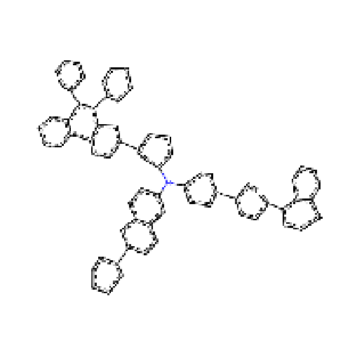 c1ccc(-c2ccc3cc(N(c4ccc(-c5ccc(-c6cccc7ccccc67)cc5)cc4)c4cccc(-c5ccc6c(c5)c(-c5ccccc5)c(-c5ccccc5)c5ccccc56)c4)ccc3c2)cc1